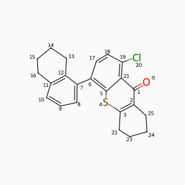 O=c1c2c(sc3c(-c4cccc5c4CCCC5)ccc(Cl)c13)CCCC2